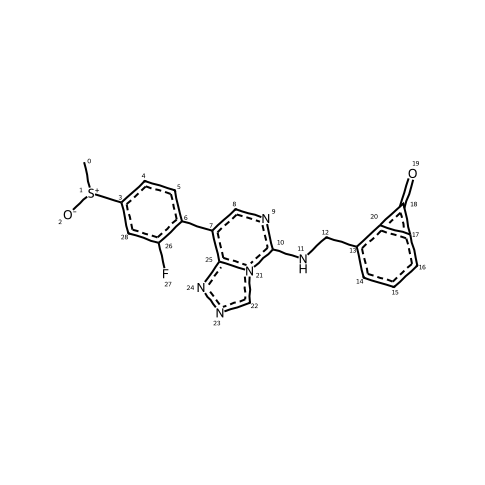 C[S+]([O-])c1ccc(-c2cnc(NCc3cccc4c(=O)c34)n3cnnc23)c(F)c1